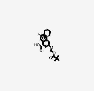 CC(C)(C)C(=O)OCOc1ccc2c(c1)[C@@]13CCCC[C@H]1[C@@H](C2)NCC3.O=CO